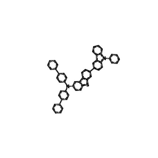 c1ccc(-c2ccc(N(c3ccc(-c4ccccc4)cc3)c3ccc4sc5cc(-c6ccc7c(c6)c6ccccc6n7-c6ccccc6)ccc5c4c3)cc2)cc1